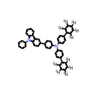 [2H]c1c([2H])c([2H])c(-c2ccc(N(c3ccc(-c4ccc5c(c4)c4ccccc4n5-c4ccccc4)cc3)c3ccc(-c4c([2H])c([2H])c([2H])c([2H])c4[2H])cc3)cc2)c([2H])c1[2H]